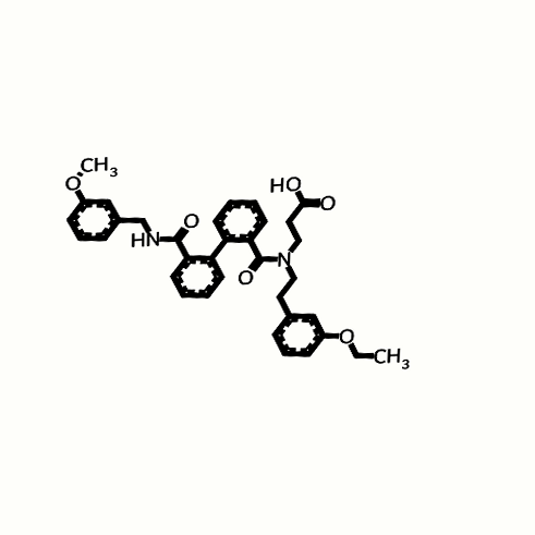 CCOc1cccc(CCN(CCC(=O)O)C(=O)c2ccccc2-c2ccccc2C(=O)NCc2cccc(OC)c2)c1